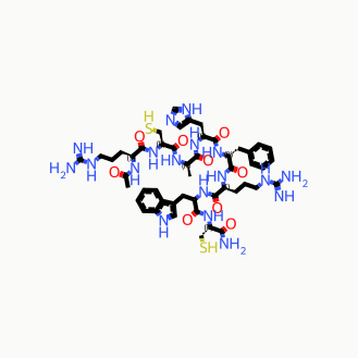 CC(=O)N[C@@H](CCCNC(=N)N)C(=O)N[C@@H](CS)C(=O)N[C@H](C)C(=O)N[C@@H](Cc1cnc[nH]1)C(=O)N[C@H](Cc1ccccc1)C(=O)N[C@@H](CCCNC(=N)N)C(=O)NC(Cc1c[nH]c2ccccc12)C(=O)N[C@@H](CS)C(N)=O